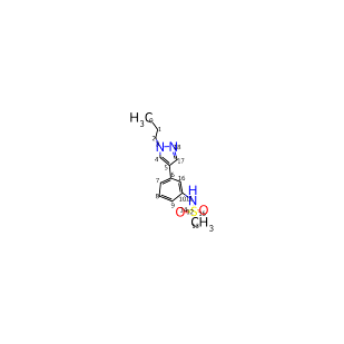 CCCn1cc(-c2cccc(NS(C)(=O)=O)c2)cn1